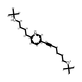 CC(C)(C)OCCCCC#Cc1ccc(CCCCOC(C)(C)C)nc1